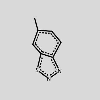 Cc1ccc2nnsc2c1